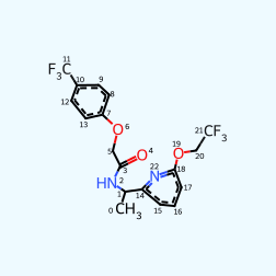 CC(NC(=O)COc1ccc(C(F)(F)F)cc1)c1cccc(OCC(F)(F)F)n1